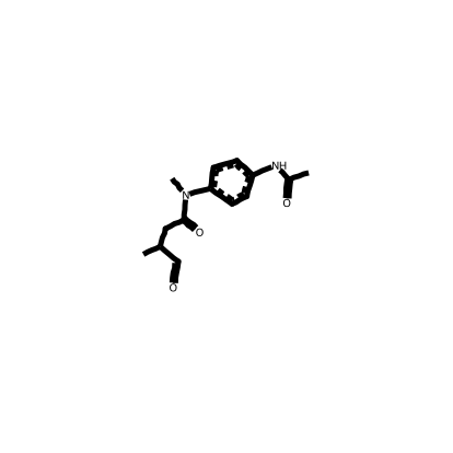 CC(=O)Nc1ccc(N(C)C(=O)CC(C)C=O)cc1